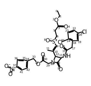 CCOC(=O)CC[S+]([O-])C=C(C)C1C(NC(=O)Cc2cc(Cl)ccc2Cl)C(=O)N1CC(=O)OCc1ccc([N+](=O)[O-])cc1